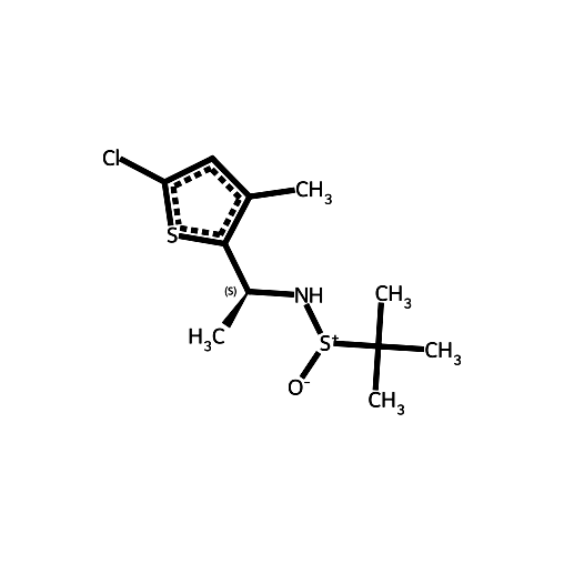 Cc1cc(Cl)sc1[C@H](C)N[S+]([O-])C(C)(C)C